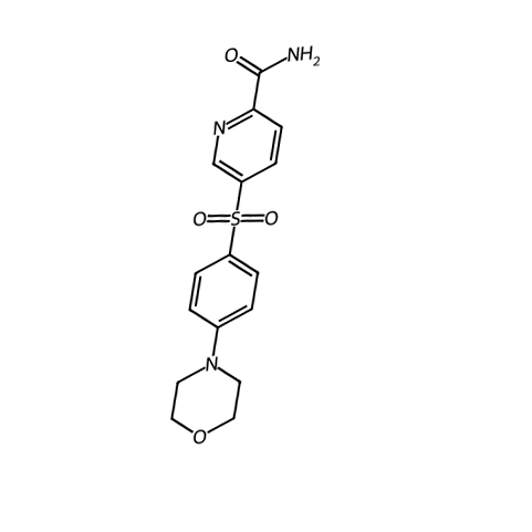 NC(=O)c1ccc(S(=O)(=O)c2ccc(N3CCOCC3)cc2)cn1